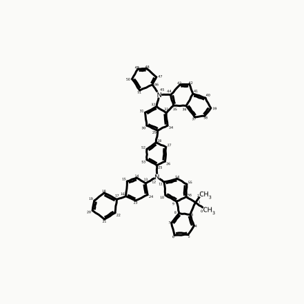 CC1(C)c2ccccc2-c2cc(N(c3ccc(-c4ccccc4)cc3)c3ccc(-c4ccc5c(c4)c4c6ccccc6ccc4n5-c4ccccc4)cc3)ccc21